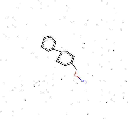 NOCc1ccc(-c2ccccc2)cc1